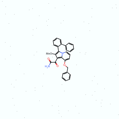 COc1c(C(=O)C(N)=O)c2c(OCc3ccccc3)cccn2c1-c1ccccc1-c1ccccc1